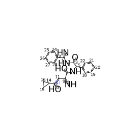 N=C(NC(=O)C(NC(O)C(=N)/C=C(\O)C1CC1)c1ccccc1)c1ccccc1